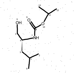 CC(C)C[C@H](CO)NC(=O)OC(C)C